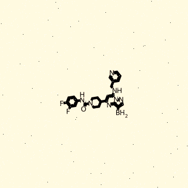 Bc1cnn2c(NCc3cccnc3)cc(C3CCN(C(=O)Nc4ccc(F)c(F)c4)CC3)nc12